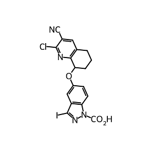 N#Cc1cc2c(nc1Cl)C(Oc1ccc3c(c1)c(I)nn3C(=O)O)CCC2